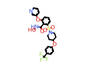 O=C(NO)c1c(Oc2cccnc2)cccc1S(=O)(=O)N1CCC(Oc2ccc(C(F)(F)F)cc2)CC1